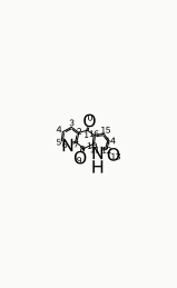 O=C1c2cccnc2C(=O)c2[nH]c(=O)ccc21